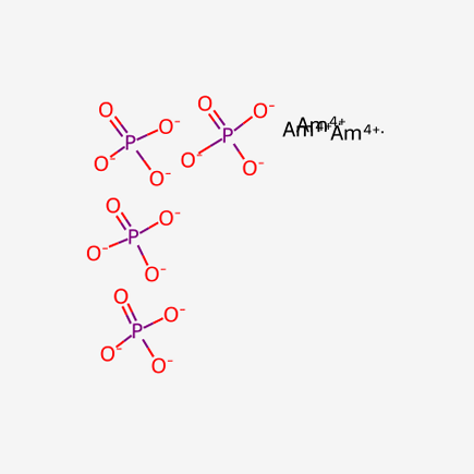 O=P([O-])([O-])[O-].O=P([O-])([O-])[O-].O=P([O-])([O-])[O-].O=P([O-])([O-])[O-].[Am+4].[Am+4].[Am+4]